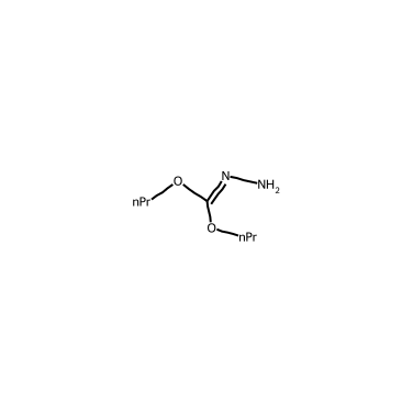 CCCOC(=NN)OCCC